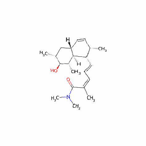 CC(=CC=C[C@@H]1[C@H]2[C@H](C)[C@@H](O)[C@H](C)C[C@@H]2C=C[C@@H]1C)C(=O)N(C)C